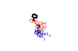 NC(=O)c1c(Br)n([C@H]2O[C@@H](COC(=O)c3ccccc3)[C@H](O)[C@@H]2O)c2ncnc(N)c12